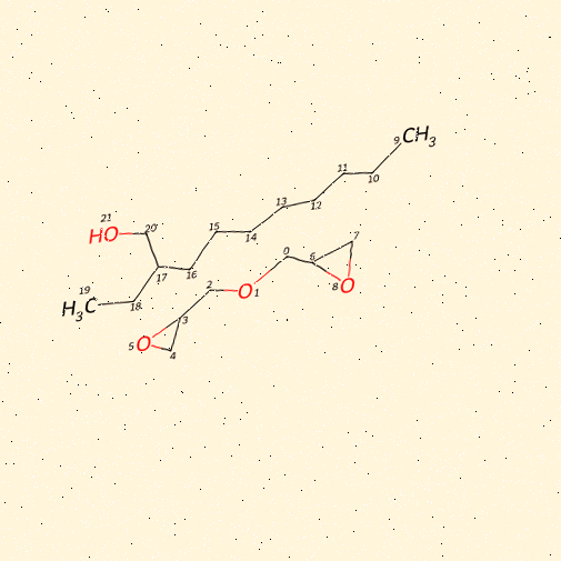 C(OCC1CO1)C1CO1.CCCCCCCCC(CC)CO